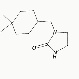 CC1(C)CCC(CN2CCNC2=O)CC1